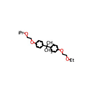 CCOCCOc1ccc(C(C)(C)c2ccc(OCCOC(C)C)cc2)cc1